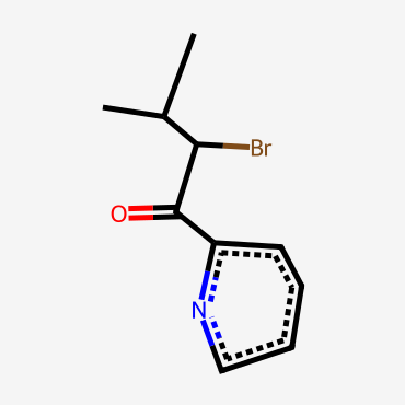 CC(C)C(Br)C(=O)c1ccccn1